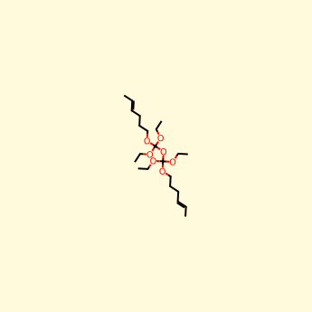 CC=CCCCOC(OCC)(OCC)OC(OCC)(OCC)OCCCC=CC